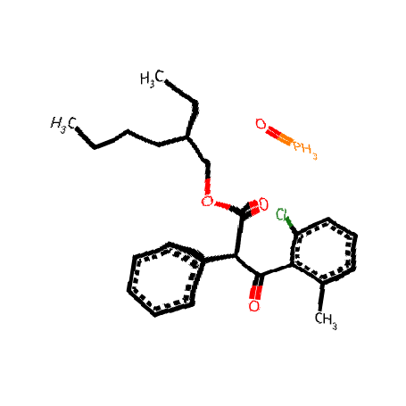 CCCCC(CC)COC(=O)C(C(=O)c1c(C)cccc1Cl)c1ccccc1.O=[PH3]